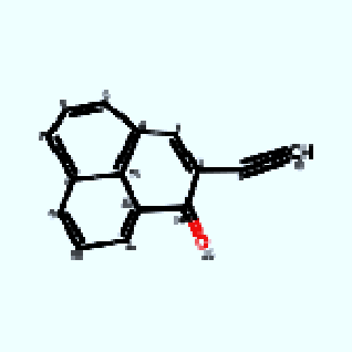 C#CC1=Cc2cccc3cccc(c23)C1=O